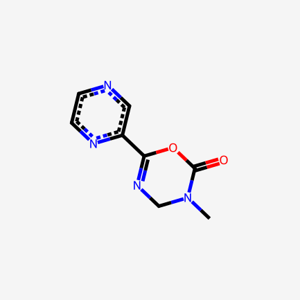 CN1CN=C(c2cnccn2)OC1=O